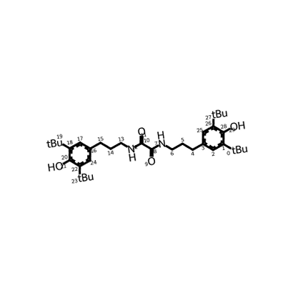 CC(C)(C)c1cc(CCCNC(=O)C(=O)NCCCc2cc(C(C)(C)C)c(O)c(C(C)(C)C)c2)cc(C(C)(C)C)c1O